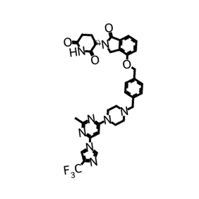 Cc1nc(N2CCN(Cc3ccc(COc4cccc5c4CN([C@H]4CCC(=O)NC4=O)C5=O)cc3)CC2)cc(-n2cnc(C(F)(F)F)c2)n1